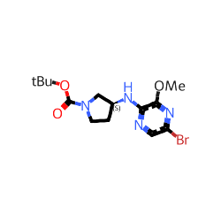 COc1nc(Br)cnc1N[C@H]1CCN(C(=O)OC(C)(C)C)C1